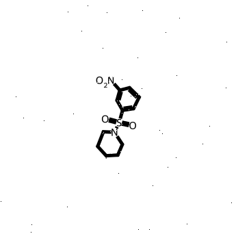 O=[N+]([O-])c1cccc(S(=O)(=O)N2CC[CH]CC2)c1